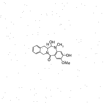 COc1cc2c(cc1O)N(C)C(O)[C@@H]1Cc3ccccc3CN1C2=O